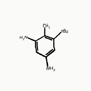 CCCCc1cc(N)cc(N)c1C